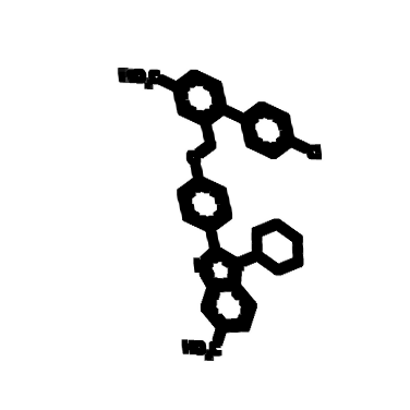 CCOC(=O)c1ccc(-c2ccc(Cl)cc2)c(COc2ccc(-c3nc4cc(C(=O)O)ccc4n3C3CCCCC3)cc2)c1